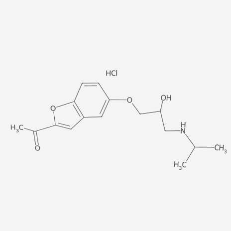 CC(=O)c1cc2cc(OCC(O)CNC(C)C)ccc2o1.Cl